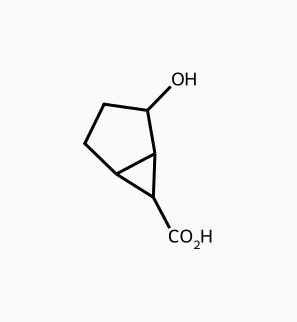 O=C(O)C1C2CCC(O)C21